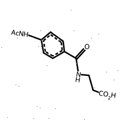 CC(=O)Nc1ccc(C(=O)NCCC(=O)O)cc1